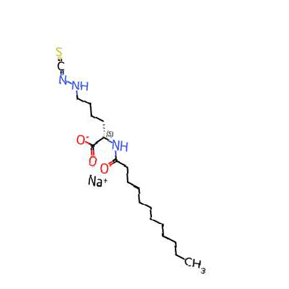 CCCCCCCCCCCC(=O)N[C@@H](CCCCNN=C=S)C(=O)[O-].[Na+]